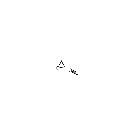 C1CO1.[C-]#[O+]